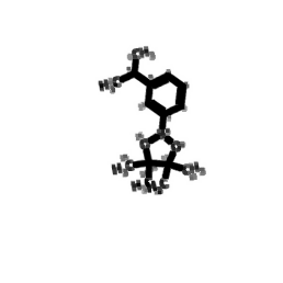 C[C](C)c1cccc(B2OC(C)(C)C(C)(C)O2)c1